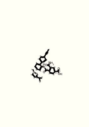 CC#Cc1ccc(-c2ccccc2NC(=O)c2ccc(C(=O)O)cc2C(N)=O)cc1.Cn1ccc(C(F)F)n1